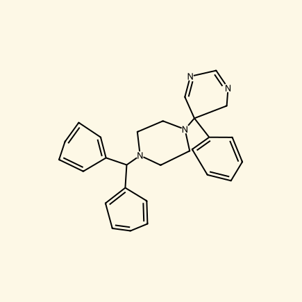 C1=NC=NCC1(c1ccccc1)N1CCN(C(c2ccccc2)c2ccccc2)CC1